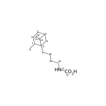 CC1CCC2CC1(CCCCNC(=O)O)C2(C)C